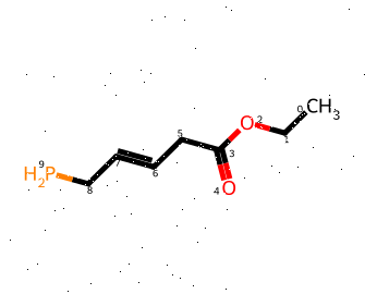 CCOC(=O)CC=CCP